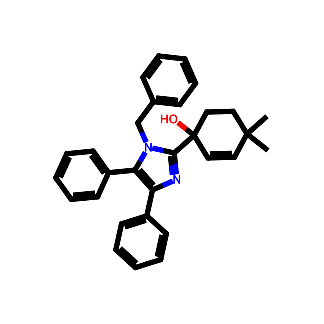 CC1(C)C=CC(O)(c2nc(-c3ccccc3)c(-c3ccccc3)n2Cc2ccccc2)CC1